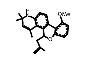 C=C(C)CC1Oc2cccc(OC)c2-c2ccc3c(c21)C(C)=CC(C)(C)N3